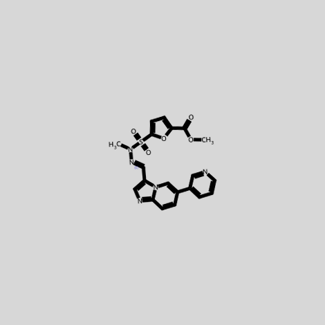 COC(=O)c1ccc(S(=O)(=O)N(C)/N=C/c2cnc3ccc(-c4cccnc4)cn23)o1